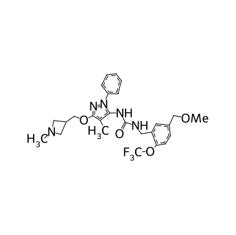 COCc1ccc(OC(F)(F)F)c(CNC(=O)Nc2c(C)c(OCC3CN(C)C3)nn2-c2ccccc2)c1